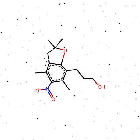 Cc1c(CCCO)c2c(c(C)c1[N+](=O)[O-])CC(C)(C)O2